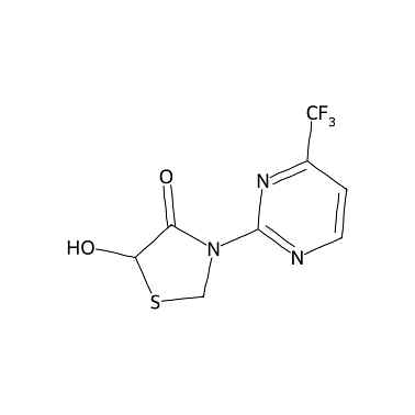 O=C1C(O)SCN1c1nccc(C(F)(F)F)n1